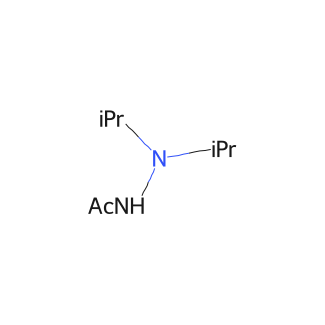 CC(=O)NN(C(C)C)C(C)C